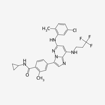 Cc1ccc(Cl)cc1Nc1cc(NCCC(F)(F)F)c2ncc(-c3ccc(C(=O)NC4CC4)c(C)c3)n2n1